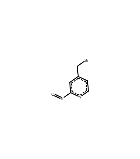 O=Nc1cc(CBr)ccn1